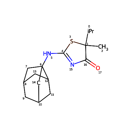 CC(C)C1(C)SC(NC23CC4CC(CC2C4)C3)=NC1=O